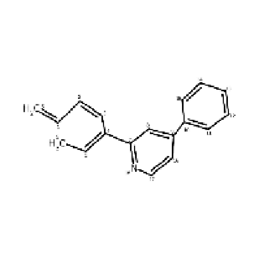 C=C/C=C\C(=C/C)c1cc(-c2ccccc2)ccn1